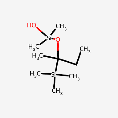 CCC(C)(O[Si](C)(C)O)[Si](C)(C)C